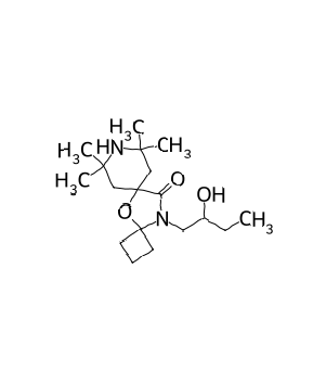 CCC(O)CN1C(=O)C2(CC(C)(C)NC(C)(C)C2)OC12CCC2